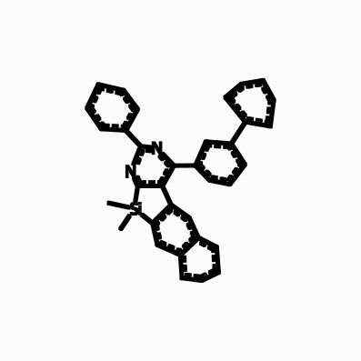 C[Si]1(C)c2cc3ccccc3cc2-c2c(-c3cccc(-c4ccccc4)c3)nc(-c3ccccc3)nc21